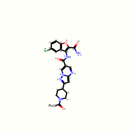 CC(C)COC(=O)N1CCC(c2cc3ncc(C(=O)Nc4c(C(N)=O)oc5ccc(Br)cc45)cn3n2)CC1